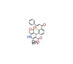 CC1=C(C(=O)OC(C)C)C(c2cccc3c(=O)cc(-c4ccccc4)sc23)C2=C(COC2=O)N1